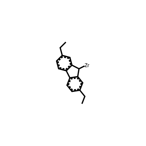 CCc1ccc2c(c1)[CH]([Zr])c1cc(CC)ccc1-2